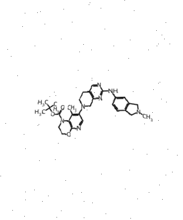 Cc1c(N2CCc3cnc(Nc4ccc5c(c4)CN(C)C5)nc3C2)cnc2c1N(C(=O)OC(C)(C)C)CCO2